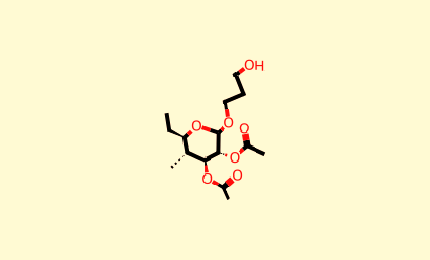 CC[C@H]1OC(OCCCO)[C@H](OC(C)=O)[C@@H](OC(C)=O)[C@@H]1C